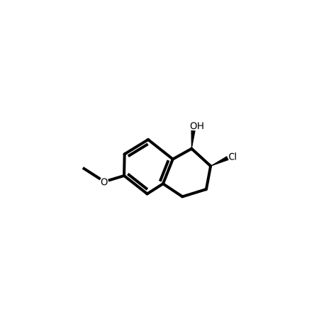 COc1ccc2c(c1)CC[C@H](Cl)[C@@H]2O